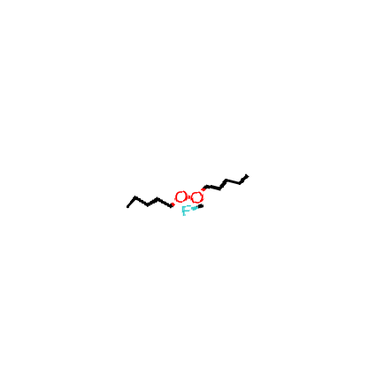 CCCCCOOCCCCC.CF